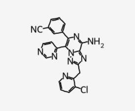 N#Cc1cccc(-c2nc(N)c3nc(Cc4ncccc4Cl)nn3c2-c2ccncn2)c1